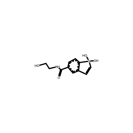 O=C(NCCO)c1ccc2c(c1)C=CS2(O)O